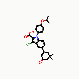 CC(C)Oc1ccc(-n2c(C(=O)O)c(Cl)c3cc(C4=CC(=O)CC(C)(C)C4)ccc32)cc1